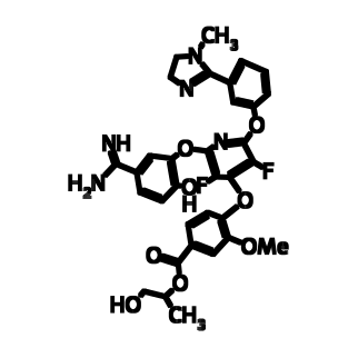 COc1cc(C(=O)OC(C)CO)ccc1Oc1c(F)c(Oc2cccc(C3=NCCN3C)c2)nc(Oc2cc(C(=N)N)ccc2O)c1F